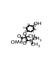 COC(=O)C(C)(Oc1ccc(O)cc1)C(=O)N(C)C